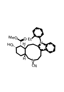 CCc1ccccc1-n1c2c(c3ccccc31)CCN(C#N)C[C@@H]1CC[C@H](O)[C@H](C(=O)OC)[C@H]1CC2